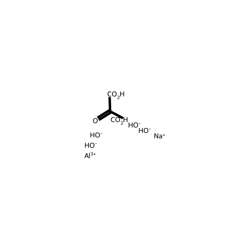 O=C(O)C(=O)C(=O)O.[Al+3].[Na+].[OH-].[OH-].[OH-].[OH-]